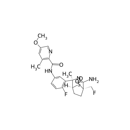 COc1cnc(C(=O)Nc2ccc(F)c([C@@]3(C)N=C(N)[C@@]4(CF)CC[C@@H]3S4(=O)=O)c2)c(C)c1